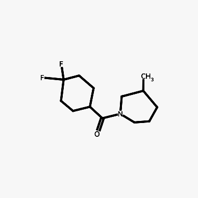 CC1CCCN(C(=O)C2CCC(F)(F)CC2)C1